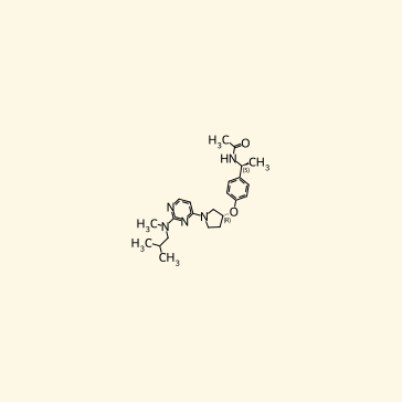 CC(=O)N[C@@H](C)c1ccc(O[C@@H]2CCN(c3ccnc(N(C)CC(C)C)n3)C2)cc1